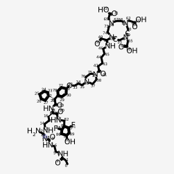 CCC(=O)NCCNC(=O)/N=C(/N)NCCC[C@@H](NC(=O)[C@H](c1ccccc1)c1ccc(OCCCN2CCN(C(=O)CCCCCNC(C=O)N3CCN(CC(=O)O)CCN(CC(=O)O)CCN(CC(=O)O)CC3)CC2)cc1)C(=O)NCc1c(F)cc(O)cc1F